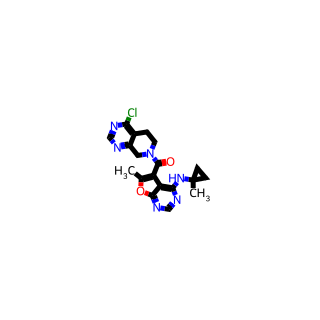 Cc1oc2ncnc(NC3(C)CC3)c2c1C(=O)N1CCc2c(Cl)ncnc2C1